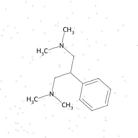 CN(C)CC(CN(C)C)c1ccccc1